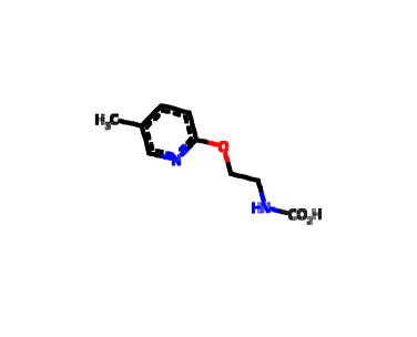 Cc1ccc(OCCNC(=O)O)nc1